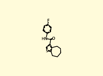 O=C(Nc1ccc(F)cc1)c1csc2c1CCCCC2